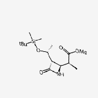 COC(=O)[C@@H](C)[C@H]1NC(=O)[C@@H]1[C@@H](C)O[Si](C)(C)C(C)(C)C